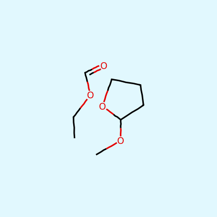 CCOC=O.COC1CCCO1